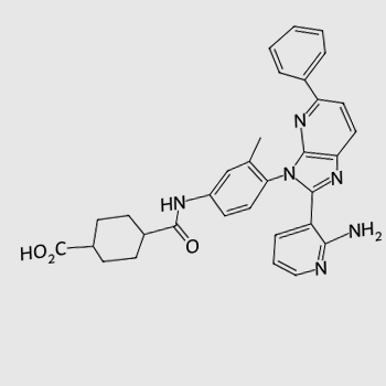 Cc1cc(NC(=O)C2CCC(C(=O)O)CC2)ccc1-n1c(-c2cccnc2N)nc2ccc(-c3ccccc3)nc21